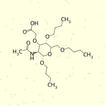 CCCCOCC1O[C@H](OCCCC)[C@@H](NC(C)=O)C(OCC(=O)O)[C@@H]1OCCCC